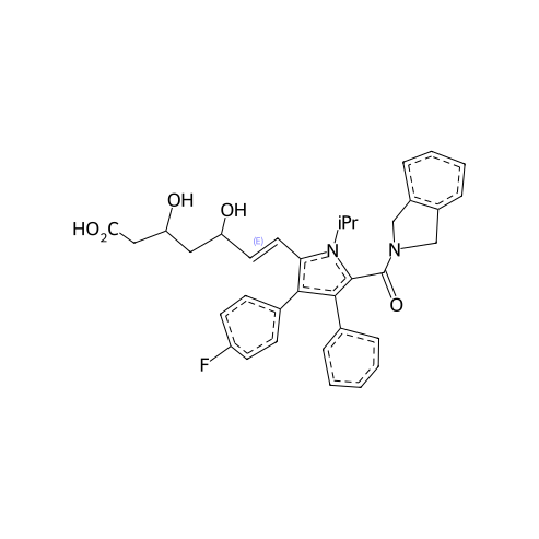 CC(C)n1c(/C=C/C(O)CC(O)CC(=O)O)c(-c2ccc(F)cc2)c(-c2ccccc2)c1C(=O)N1Cc2ccccc2C1